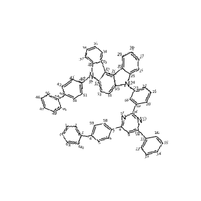 c1ccc(-c2ccc(-c3cc(-c4ccccc4)nc(-c4cccc(-n5c6ccccc6c6c7c8ccccc8n(-c8ccc(-c9ccccc9)cc8)c7ccc65)c4)n3)cc2)cc1